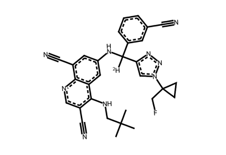 [2H]C(Nc1cc(C#N)c2ncc(C#N)c(NCC(C)(C)C)c2c1)(c1cccc(C#N)c1)c1cn(C2(CF)CC2)nn1